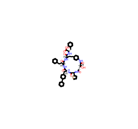 O=C1C[C@@H](O)C(=O)Nc2ccc(cc2)C[C@@H](C(=O)N[C@@H](Cc2ccccc2)C(=O)O)NC(=O)[C@@H](CCc2ccccc2)NC(=O)[C@H](Cc2ccc(-c3ccccc3)cc2)NC(=O)C(c2cccs2)N1